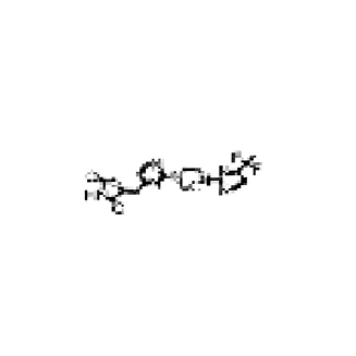 CC(F)(F)c1ccnc(N2CCN(c3nccc(/C=C4\SC(=O)NC4=O)n3)CC2)n1